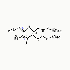 CC/C=C(\C)CCCCCCCCCCCCCC.CCC/C=C/CCCCCCCCCCCCCCC